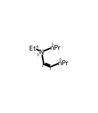 CCC/C=C\N(CC)CCC